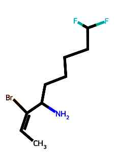 C/C=C(/Br)C(N)CCCCC(F)F